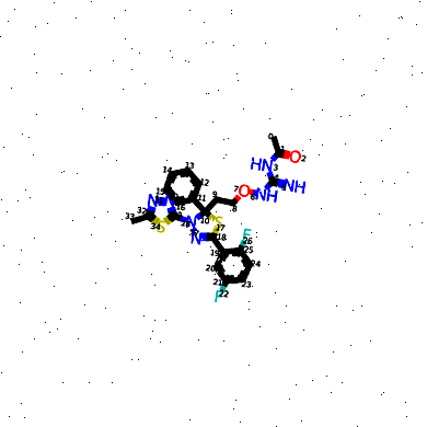 CC(=O)NC(=N)NOCCC1(c2ccccc2)SC(c2cc(F)ccc2F)=NN1c1nnc(C)s1